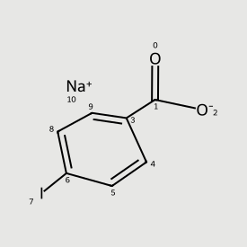 O=C([O-])c1ccc(I)cc1.[Na+]